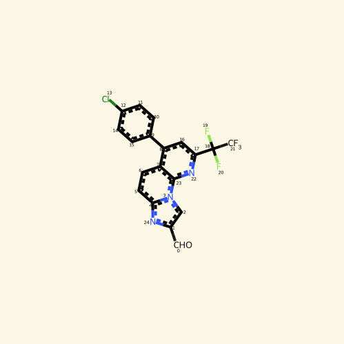 O=Cc1cn2c(ccc3c(-c4ccc(Cl)cc4)cc(C(F)(F)C(F)(F)F)nc32)n1